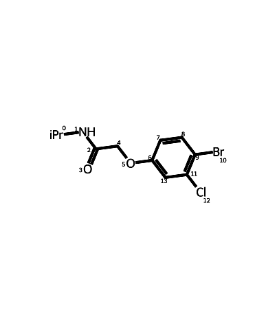 CC(C)NC(=O)COc1ccc(Br)c(Cl)c1